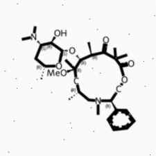 CO[C@]1(C)C[C@@H](C)CN(C)[C@H](c2ccccc2)COC(=O)C(C)(C)C(=O)[C@H](C)[C@H]1O[C@@H]1O[C@H](C)C[C@H](N(C)C)[C@H]1O